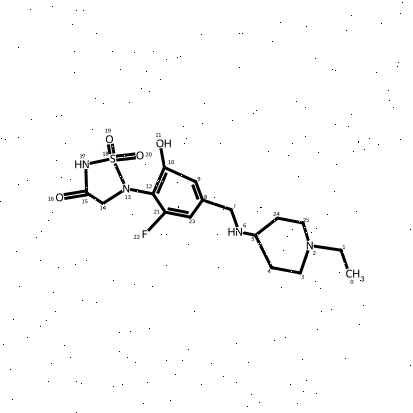 CCN1CCC(NCc2cc(O)c(N3CC(=O)NS3(=O)=O)c(F)c2)CC1